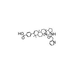 CC1(C)C(c2ccc(C(=O)O)cc2)=CC[C@@]2(C)C1CC[C@]1(C)C2CC[SH]2C3CCC[C@]3(NC(=O)Cc3ccccn3)CC[C@]21C